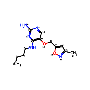 CCCCNc1nc(N)ncc1OCc1cc(C)no1